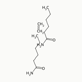 C=C.CCCCCC(N)=O.CCCCCC(N)=O